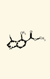 COC(=O)c1ccc2ncc(I)n2c1C